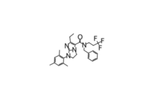 CCc1nc2n(c1C(=O)N(CCC(F)(F)F)Cc1ccccc1)CCN2c1c(C)cc(C)cc1C